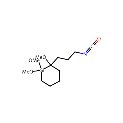 COC1(CCCN=C=O)CCCC[Si]1(OC)OC